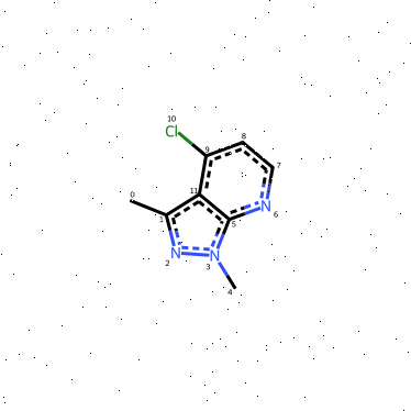 Cc1nn(C)c2nccc(Cl)c12